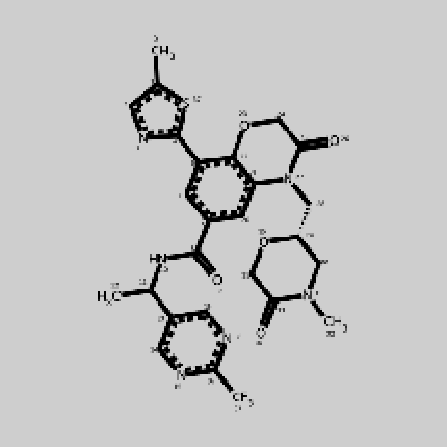 Cc1cnc(-c2cc(C(=O)NC(C)c3cnc(C(F)(F)F)nc3)cc3c2OCC(=O)N3C[C@@H]2CN(C)C(=O)CO2)s1